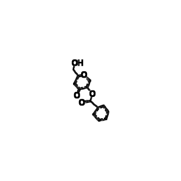 O=C(Oc1coc(CO)cc1=O)c1ccccc1